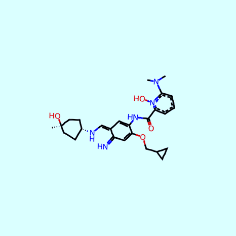 CN(C)c1cccc(C(=O)NC2=C/C(=C/N[C@H]3CC[C@](C)(O)CC3)C(=N)C=C2OCC2CC2)[n+]1O